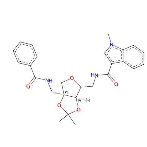 Cn1cc(C(=O)NCC2OC[C@]3(CNC(=O)c4ccccc4)OC(C)(C)O[C@H]23)c2ccccc21